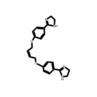 C(=C/COc1ccc(C2=NCCN2)cc1)/COc1ccc(C2=NCCN2)cc1